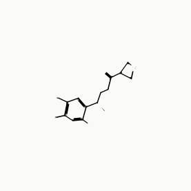 C[C@H](CCC(=O)C1CNC1)c1cc(Cl)c(Cl)cc1O